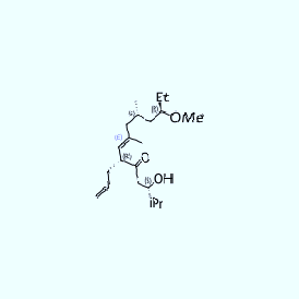 C=CC[C@H](/C=C(\C)C[C@H](C)C[C@@H](CC)OC)C(=O)C[C@H](O)C(C)C